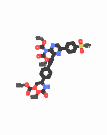 CC(C)S(=O)(=O)c1ccc(-c2cnc(N(C(=O)OC(C)(C)C)C(=O)OC(C)(C)C)c(C#Cc3ccc(C(COC(=O)OC(C)(C)C)NC(=O)OC(C)(C)C)cc3)n2)cc1